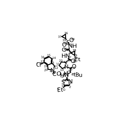 CCc1cnc(N[C@H](C(=O)N2C[C@H](C3c4cccc(Cl)c4CN3C(=O)O)C[C@H]2C(=O)N[C@]2(C(=O)NS(=O)(=O)C3CC3)C[C@H]2CC)C(C)(C)C)s1